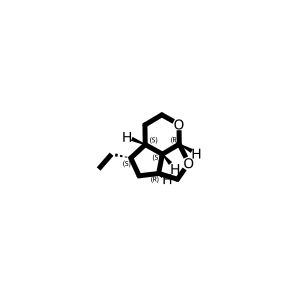 CC[C@H]1C[C@H]2CO[C@H]3OCC[C@@H]1[C@@H]23